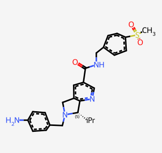 CC(C)[C@H]1c2ncc(C(=O)NCc3ccc(S(C)(=O)=O)cc3)cc2CN1Cc1ccc(N)cc1